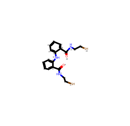 O=C(NCCS)c1ccccc1Nc1ccccc1C(=O)NCCS